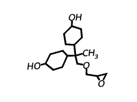 CC(COCC1CO1)(C1CCC(O)CC1)C1CCC(O)CC1